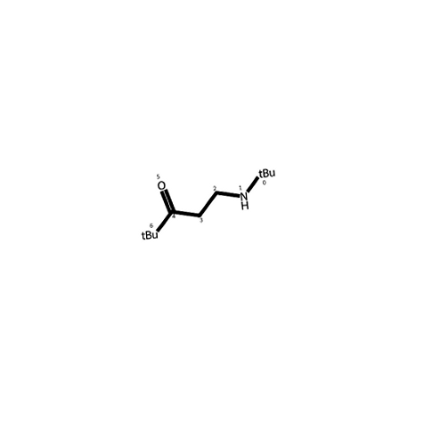 CC(C)(C)NCCC(=O)C(C)(C)C